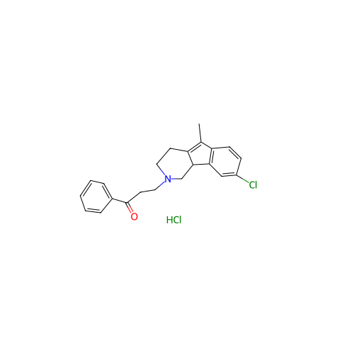 CC1=C2CCN(CCC(=O)c3ccccc3)CC2c2cc(Cl)ccc21.Cl